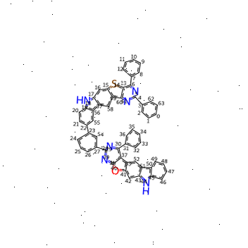 c1ccc(-c2nc(-c3ccccc3)c3sc4cc5[nH]c6ccc(-c7cccc(-c8nc(-c9ccccc9)c9c(n8)oc8cc%10[nH]c%11ccccc%11c%10cc89)c7)cc6c5cc4c3n2)cc1